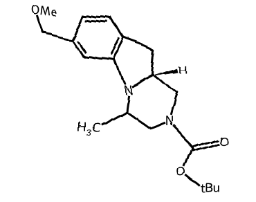 COCc1ccc2c(c1)N1C(C)CN(C(=O)OC(C)(C)C)C[C@H]1C2